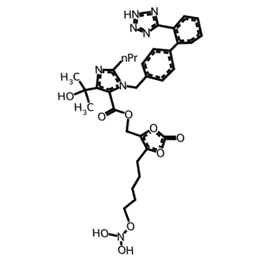 CCCc1nc(C(C)(C)O)c(C(=O)OCc2oc(=O)oc2CCCCCON(O)O)n1Cc1ccc(-c2ccccc2-c2nn[nH]n2)cc1